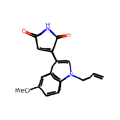 C=CCn1cc(C2=CC(=O)NC2=O)c2cc(OC)ccc21